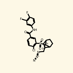 [N-]=[N+]=NCC1CC2CCC1[C@@H]2S(=O)(=O)c1cc(C(=O)Nc2ccc(F)c(F)c2)ccc1Cl